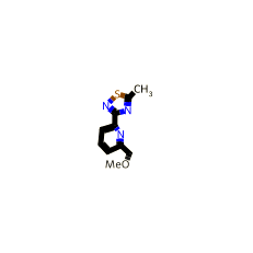 COCc1cccc(-c2nsc(C)n2)n1